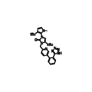 CCCCc1cn(-c2c(C(C)(C)C)ccn2C)c(=O)n1Cc1ccc(-c2ccccc2-c2nnn[nH]2)cn1